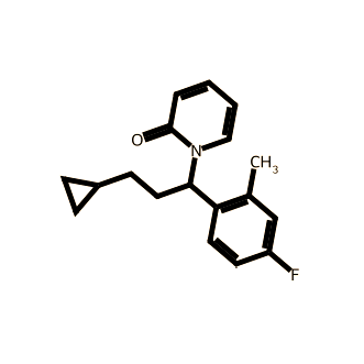 Cc1cc(F)[c]cc1C(CCC1CC1)n1ccccc1=O